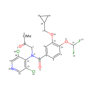 COC(=O)CN(C(=O)c1ccc(OC(F)F)c(OCC2CC2)c1)c1c(Cl)cncc1Cl